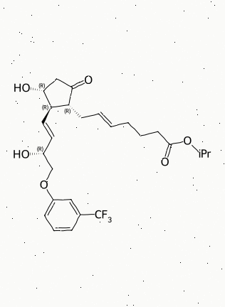 CC(C)OC(=O)CCCC=CC[C@H]1C(=O)C[C@@H](O)[C@@H]1C=C[C@@H](O)COc1cccc(C(F)(F)F)c1